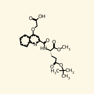 COC(=O)[C@H](CCC(=O)OC(C)(C)C)NC(=O)c1cc(OCC(=O)O)c2ccccc2n1